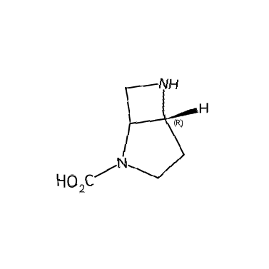 O=C(O)N1CC[C@H]2NCC21